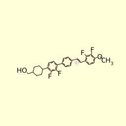 COc1ccc(/C=C/c2ccc(-c3ccc(C4CCC(CO)CC4)c(F)c3F)cc2)c(F)c1F